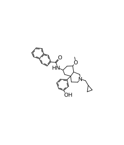 COC1CC(NC(=O)c2ccc3ccccc3c2)CC2(c3cccc(O)c3)CCN(CC3CC3)CC12